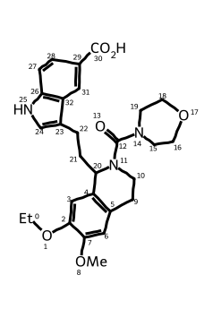 CCOc1cc2c(cc1OC)CCN(C(=O)N1CCOCC1)C2CCc1c[nH]c2ccc(C(=O)O)cc12